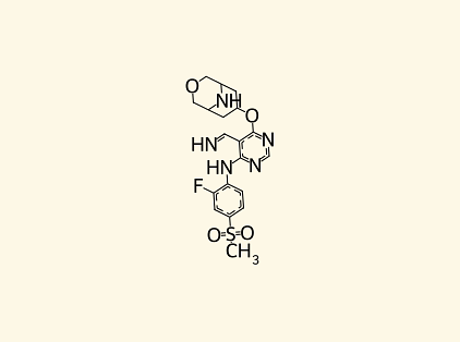 CS(=O)(=O)c1ccc(Nc2ncnc(OC3CC4COCC(C3)N4)c2C=N)c(F)c1